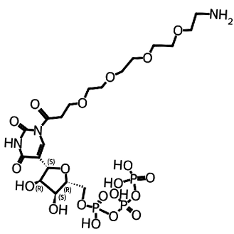 NCCOCCOCCOCCOCCC(=O)n1cc([C@@H]2O[C@H](COP(=O)(O)OP(=O)(O)OP(=O)(O)O)[C@@H](O)[C@H]2O)c(=O)[nH]c1=O